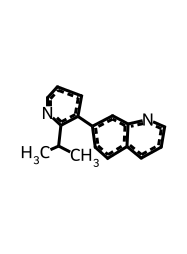 CC(C)c1ncccc1-c1ccc2cccnc2c1